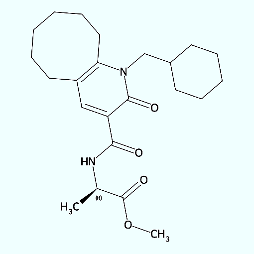 COC(=O)[C@@H](C)NC(=O)c1cc2c(n(CC3CCCCC3)c1=O)CCCCCC2